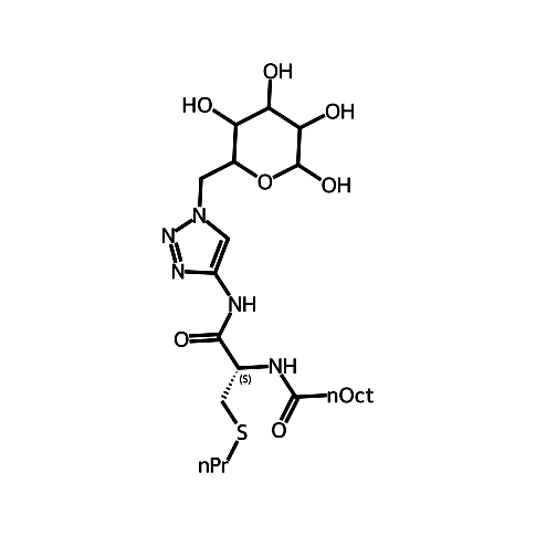 [CH2][CH]CSC[C@@H](NC(=O)CCCCCCCC)C(=O)Nc1cn(CC2OC(O)C(O)C(O)C2O)nn1